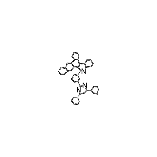 c1ccc(-c2cc(-c3ccccc3)nc(-c3cccc(-c4nc5ccccc5c5c6ccccc6c6cc7ccccc7cc6c45)c3)n2)cc1